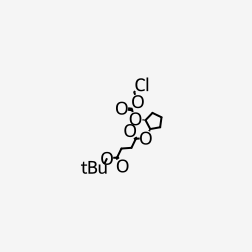 CC(C)(C)OC(=O)CCC(=O)O[C@@H]1CCC[C@H]1OC(=O)OCCl